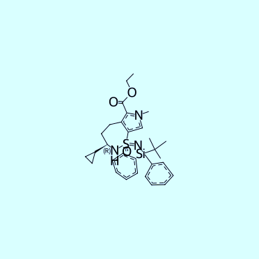 CCOC(=O)c1c2c(cn1C)S(=O)(=N[Si](c1ccccc1)(c1ccccc1)C(C)(C)C)N[C@@H](C1CC1)CC2